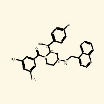 Cc1cc(C)cc(C(=O)N2CC[C@H](NCc3ccnc4ccccc34)C[C@@H]2[C@@H](O)c2ccc(Cl)cc2)c1